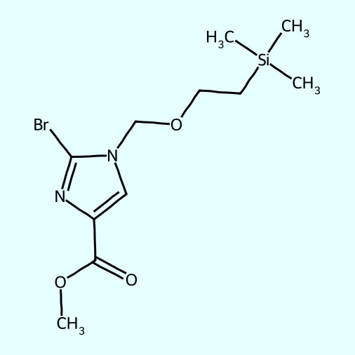 COC(=O)c1cn(COCC[Si](C)(C)C)c(Br)n1